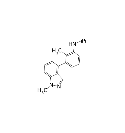 Cc1c(NC(C)C)cccc1-c1cccc2c1cnn2C